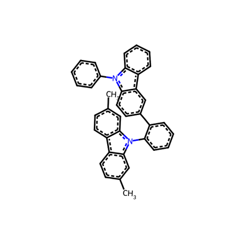 Cc1ccc2c3ccc(C)cc3n(-c3ccccc3-c3ccc4c(c3)c3ccccc3n4-c3ccccc3)c2c1